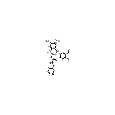 CCc1ccccc1CC.COc1cc2c(cc1OC)C(C)N(CC(=O)NCc1cccnc1)CC2